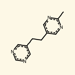 Cc1ncc(CCc2cncnc2)cn1